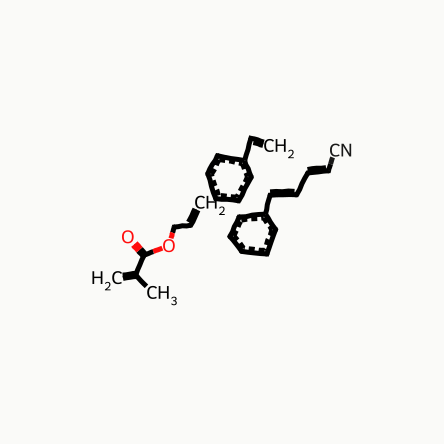 C=CCOC(=O)C(=C)C.C=Cc1ccccc1.N#CC=CC=Cc1ccccc1